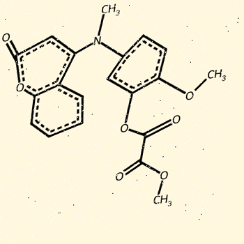 COC(=O)C(=O)Oc1cc(N(C)c2cc(=O)oc3ccccc23)ccc1OC